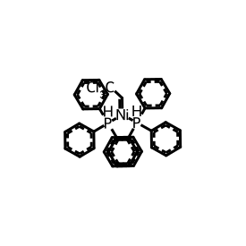 ClC(Cl)(Cl)[CH]=[Ni]([PH](c1ccccc1)(c1ccccc1)c1ccccc1)[PH](c1ccccc1)(c1ccccc1)c1ccccc1